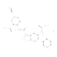 COc1ccccc1-c1cc2onc(C(=O)Nc3ccc(C#N)cc3C(=O)O)c2cc1NC(C)=O